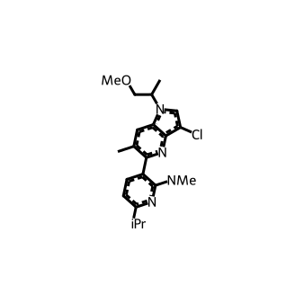 CNc1nc(C(C)C)ccc1-c1nc2c(Cl)cn(C(C)COC)c2cc1C